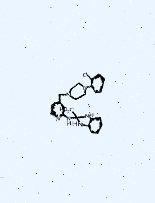 O=C(O)C1(Nc2cc(CN3CCN(c4ccccc4Cl)CC3)ccn2)Nc2ccccc2N1